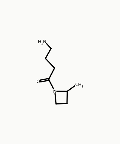 CC1CCN1C(=O)CCCN